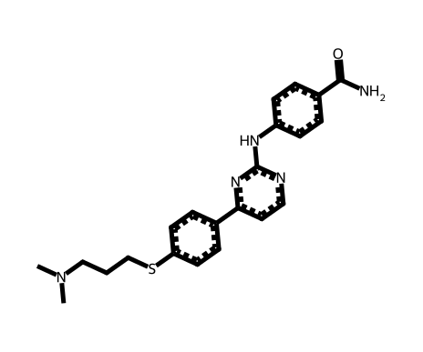 CN(C)CCCSc1ccc(-c2ccnc(Nc3ccc(C(N)=O)cc3)n2)cc1